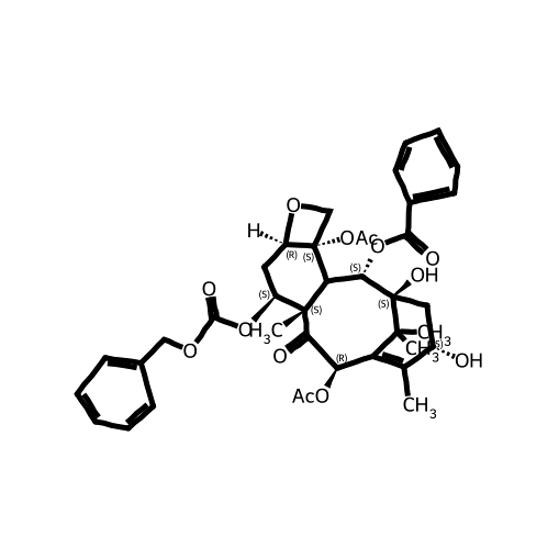 CC(=O)O[C@H]1C(=O)[C@@]2(C)C([C@H](OC(=O)c3ccccc3)[C@]3(O)C[C@H](O)C(C)=C1C3(C)C)[C@]1(OC(C)=O)CO[C@@H]1C[C@@H]2OC(=O)OCc1ccccc1